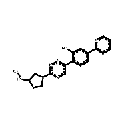 CC(C)(C)NC1CCN(c2ncc(-c3ccc(-c4ncccn4)cc3O)nn2)C1